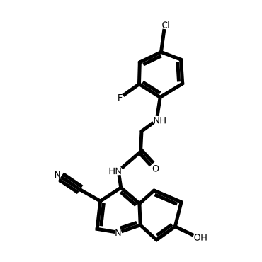 N#Cc1cnc2cc(O)ccc2c1NC(=O)CNc1ccc(Cl)cc1F